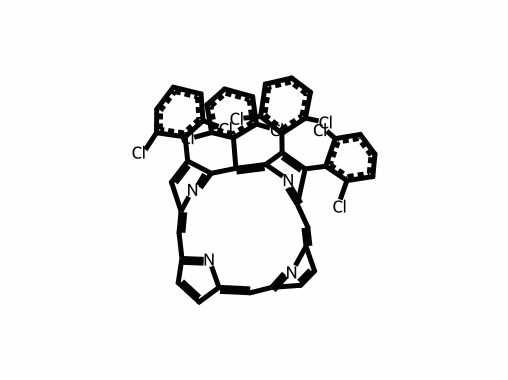 Clc1cccc(Cl)c1C1=CC2=CC3=NC(=CC4=NC(=CC5=NC(=C(c6c(Cl)cccc6Cl)C1=N2)C(c1c(Cl)cccc1Cl)=C5c1c(Cl)cccc1Cl)C=C4)C=C3